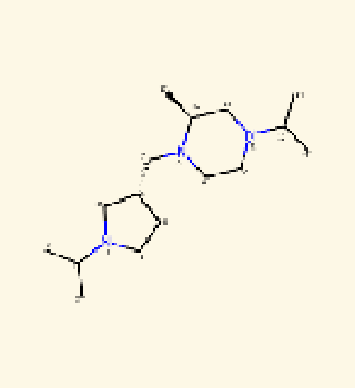 CC(C)N1CC[C@@H](CN2CCN(C(C)C)C[C@@H]2C)C1